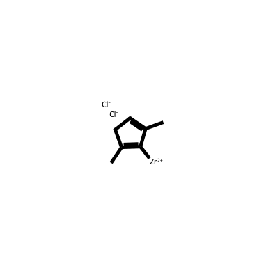 CC1=CCC(C)=[C]1[Zr+2].[Cl-].[Cl-]